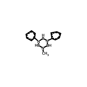 CN1BN(c2ccccc2)BN(c2ccccc2)B1